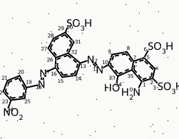 Nc1c(S(=O)(=O)O)cc(S(=O)(=O)O)c2ccc(/N=N/c3ccc(/N=N/c4cccc([N+](=O)[O-])c4)c4ccc(S(=O)(=O)O)cc34)c(O)c12